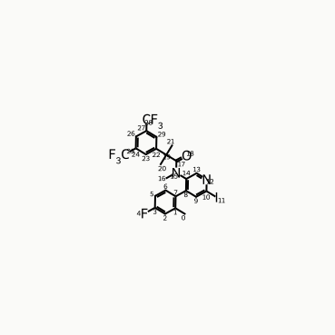 Cc1cc(F)ccc1-c1cc(I)ncc1N(C)C(=O)C(C)(C)c1cc(C(F)(F)F)cc(C(F)(F)F)c1